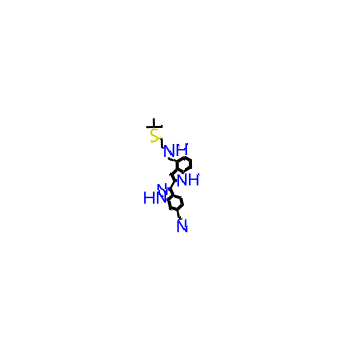 CC(C)(C)SCCNCc1cccc2[nH]c(-c3n[nH]c4cc(C#N)ccc34)cc12